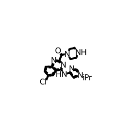 CC(C)n1cnc(Nc2nc(C(=O)N3CCNCC3)nc3ccc(Cl)cc23)c1